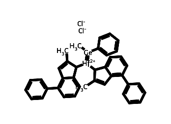 CC1=Cc2c(-c3ccccc3)cccc2[CH]1[Hf+2]([CH]1C(C)=Cc2c(-c3ccccc3)cccc21)=[Ge]([CH3])[c]1ccccc1.[Cl-].[Cl-]